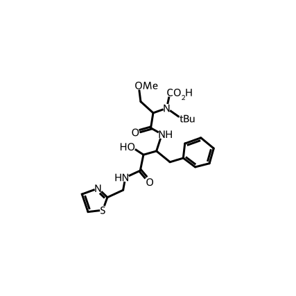 COCC(C(=O)NC(Cc1ccccc1)C(O)C(=O)NCc1nccs1)N(C(=O)O)C(C)(C)C